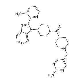 Cc1cccnc1-c1nc2cccnc2n1C1CCN(C(=O)C2CCN(Cc3cnc(N)nc3)CC2)CC1